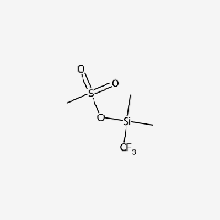 C[Si](C)(OS(C)(=O)=O)C(F)(F)F